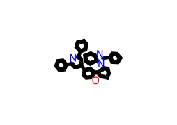 c1ccc(-c2cc(-c3ccc4oc5cccc(-n6c(-c7ccccc7)nc7ccccc76)c5c4c3)cc(-c3ccccc3)n2)cc1